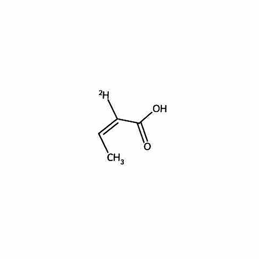 [2H]C(=CC)C(=O)O